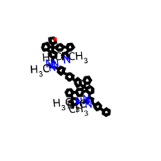 Cc1cnc(C)c(-c2ccccc2-c2ccc(C3(c4ccccc4)c4ccccc4-c4cc(-c5nc(C)nc(-c6ccc(-c7ccc(-c8ccc(C9(c%10ccccc%10)c%10cc(-c%11ccccc%11-c%11cncc(C)c%11C)ccc%10-c%10c(-c%11cc(-c%12ccc(-c%13ccccc%13)cc%12)nc(C)n%11)cccc%109)cc8)cc7)cc6)n5)ccc43)cc2)c1